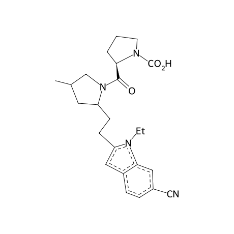 CCn1c(CCC2CC(C)CN2C(=O)[C@H]2CCCN2C(=O)O)cc2ccc(C#N)cc21